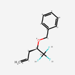 C=C[CH][C@@H](OCc1ccccc1)C(F)(F)F